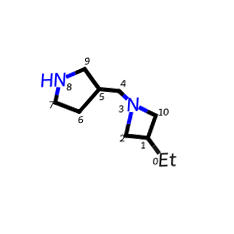 CCC1CN(CC2CCNC2)C1